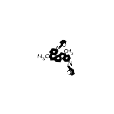 CC(C=C1C=CCC(=CC(C)c2ccc(N=Cc3ccco3)cc2)C1)c1ccc(N=Cc2ccco2)cc1